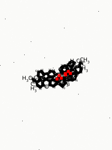 CC(C)(C)c1ccc2c(c1)C1(c3cc(C(C)(C)C)ccc3O2)c2ccccc2-c2ccc(N(c3ccc4c(c3)C3(c5cc(C(C)(C)C)ccc5Oc5ccc(C(C)(C)C)cc53)c3ccccc3-4)c3ccccc3-n3c4ccccc4c4ccccc43)cc21